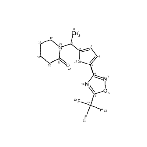 CC(c1ccc(-c2noc(C(F)(F)F)n2)s1)N1CCCCC1=O